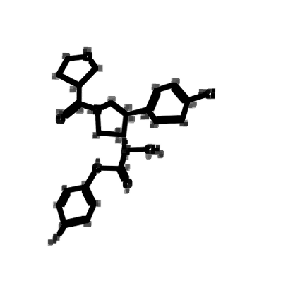 CN(C(=O)Oc1ccc(F)cc1)[C@@H]1CN(C(=O)C2CCOC2)C[C@H]1c1ccc(Cl)cc1